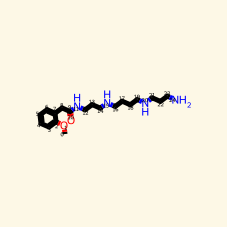 COc1ccccc1CC(=O)NCCCNCCCCNCCCN